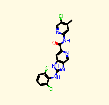 Cc1cc(NC(=O)c2cc3[nH]c(Nc4c(Cl)cccc4Cl)nc3cn2)ncc1Cl